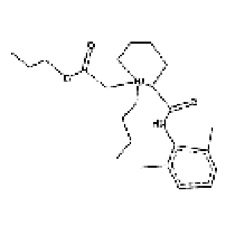 CCCC[N+]1(CC(=O)OCCC)CCCCC1C(=O)Nc1c(C)cccc1C